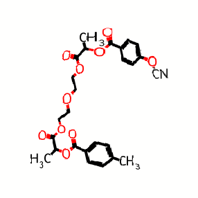 Cc1ccc(C(=O)OC(C)C(=O)OCCOCCOC(=O)C(C)OC(=O)c2ccc(OC#N)cc2)cc1